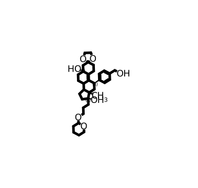 C[C@]12C[C@H](c3ccc(CO)cc3)C3=C4CCC5(C[C@]4(O)CCC3C1CC[C@@]2(O)CCCOC1CCCCO1)OCCO5